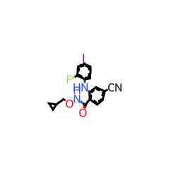 N#Cc1ccc(C(=O)NOCC2CC2)c(Nc2ccc(I)cc2F)c1